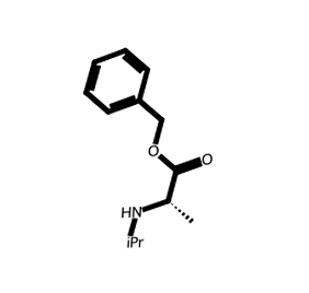 CC(C)N[C@@H](C)C(=O)OCc1ccccc1